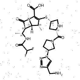 C[C@@H](NC(=O)C(F)F)[C@H]1C(=O)N2C(C(=O)O)=C(S[C@@H]3CN[C@H](C(=O)N4CC[C@H](n5cc(CN)nn5)C4)C3)[C@H](C)[C@H]12